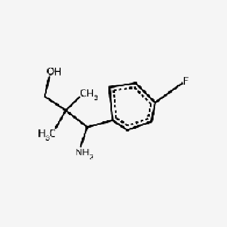 CC(C)(CO)C(N)c1ccc(F)cc1